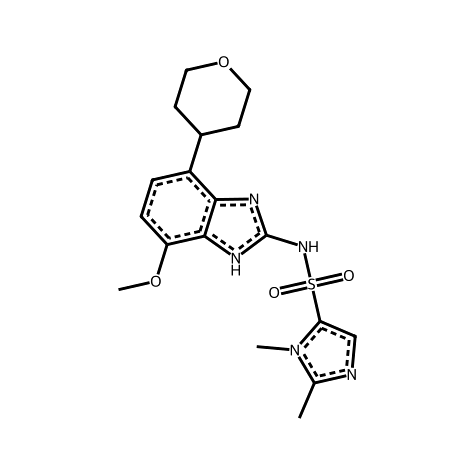 COc1ccc(C2CCOCC2)c2nc(NS(=O)(=O)c3cnc(C)n3C)[nH]c12